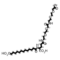 CC(C)C(=O)COCCOCCNC(=O)COCCOCCNC(=O)CC[C@H](NC(=O)CCCCCCCCCCCCC(=O)O)C(=O)O